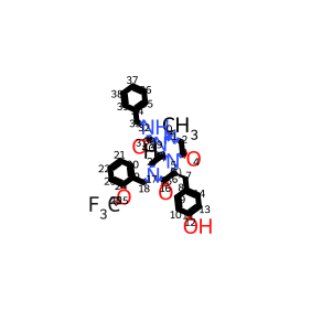 CN1CC(=O)N2[C@@H](Cc3ccc(O)cc3)C(=O)N(Cc3ccccc3OC(F)(F)F)C[C@@H]2N1C(=O)NCc1ccccc1